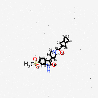 CS(=O)(=O)c1ccc2c(c1)NC(=O)C2C1CCN(CC(=O)C2CC3CCCC3C2)CC1